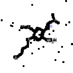 COc1cc(/N=C/N(C)C)c(C(=O)O)cc1OCCCCl